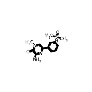 Cn1cc(-c2cccc([SH](C)(C)=O)c2)nc(N)c1=O